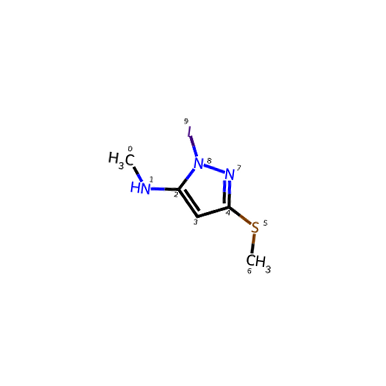 CNc1cc(SC)nn1I